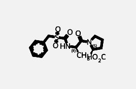 C[C@@H](NC(=O)S(=O)(=O)Cc1ccccc1)C(=O)N1CCC[C@H]1C(=O)O